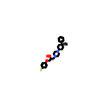 N#C[C@]1(c2ccccc2)CC[C@H](N2CCN(C[C@H](O)COc3ccc(F)cc3)CC2)CC1